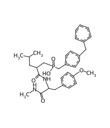 CNC(=O)C(Cc1ccc(OC)cc1)NC(=O)C(CC(C)C)CP(=O)(O)Cc1ccc(Cc2ccccc2)cc1